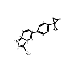 N#CC1(c2ccc(-c3ccc4nnc(C(F)(F)F)n4c3)cc2)CC1